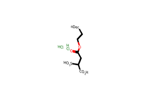 CCCCCCCCCCCCOC(=O)CC(C(=O)O)S(=O)(=O)O.Cl.Cl